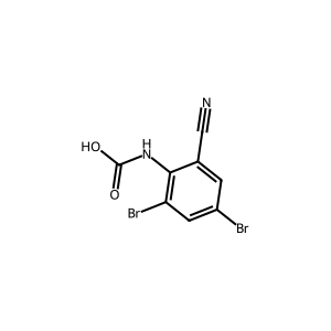 N#Cc1cc(Br)cc(Br)c1NC(=O)O